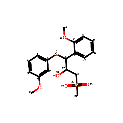 COc1cccc(SC(c2ccccc2OC)C(O)CS(C)(=O)=O)c1